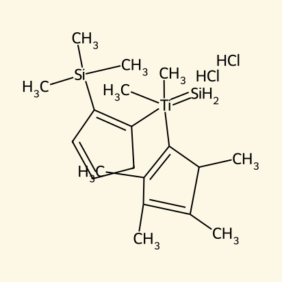 CC1=C(C)C(C)[C]([Ti]([CH3])([CH3])(=[SiH2])[C]2=C([Si](C)(C)C)C=CC2)=C1C.Cl.Cl